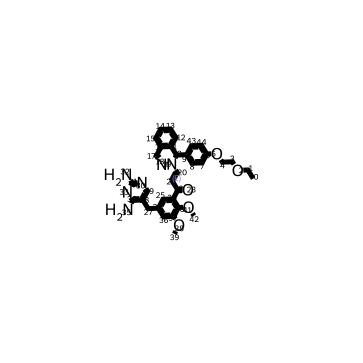 CCOCCOc1ccc(C2c3ccccc3C=NN2/C=C/C(=O)c2cc(Cc3cnc(N)nc3N)cc(OC)c2OC)cc1